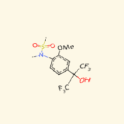 COc1cc(C(O)(C(F)(F)F)C(F)(F)F)ccc1N(C)S(C)(=O)=O